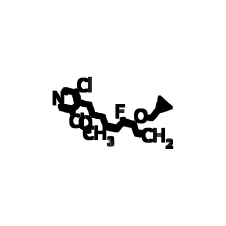 C=C/C(OCC1CC1)=C(F)\C=C/CC(Cc1c(Cl)cncc1Cl)OC